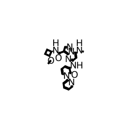 CNc1cc(Nc2cccn(-c3ccccn3)c2=O)nc2c(C(=O)N[C@@H]3CC[C@H]3OC)cnn12